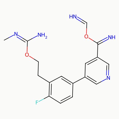 C/N=C(/N)OCCc1cc(-c2cncc(C(=N)OC=N)c2)ccc1F